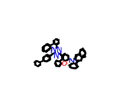 c1ccc(-c2ccc(-c3nc(C4=c5c(oc6ccccc56)=C(n5c6ccccc6c6cc7ccccc7cc65)CC4)nc(-c4ccccc4-c4ccccc4)n3)cc2)cc1